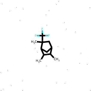 CC1C2CC(C1C)C(C)(C(F)(F)F)C2